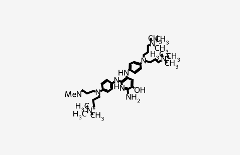 CNCCCN(CCC[N+](C)(C)C)c1ccc(Nc2nc(N)c(O)cc2Nc2ccc(N(CCC[N+](C)(C)C)CCC[N+](C)(C)C)cc2)cc1